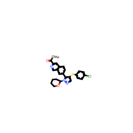 COC(=O)c1cc2ccc(-c3c(Sc4ccc(Cl)cc4)cnn3C3CCCCO3)cc2cn1